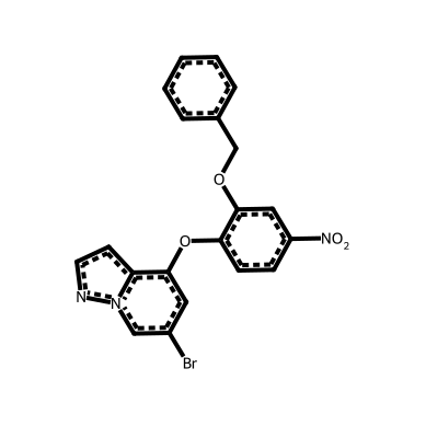 O=[N+]([O-])c1ccc(Oc2cc(Br)cn3nccc23)c(OCc2ccccc2)c1